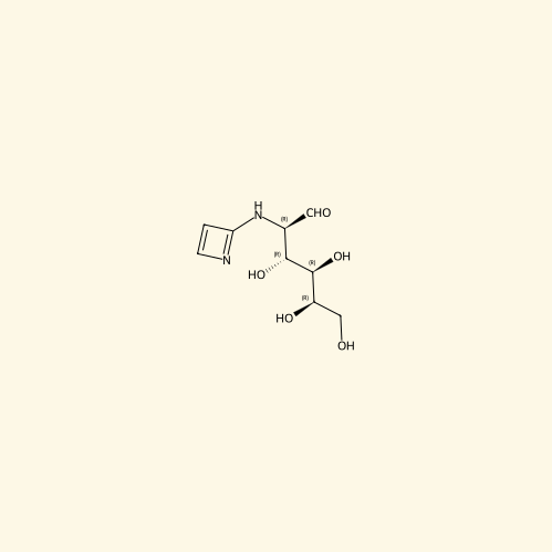 O=C[C@H](NC1=NC=C1)[C@@H](O)[C@@H](O)[C@H](O)CO